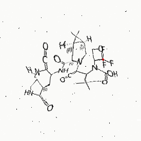 CC(C)(C)C(C(=C=O)N1C[C@H]2[C@@H]([C@H]1C(=O)NC(C[C@@H]1CCNC1=C=O)C(N)=C=O)C2(C)C)N(C(=O)O)C1(C(F)(F)F)COC1